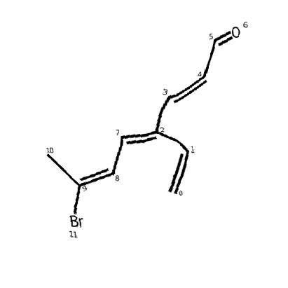 C=CC(/C=C/C=O)=C\C=C(/C)Br